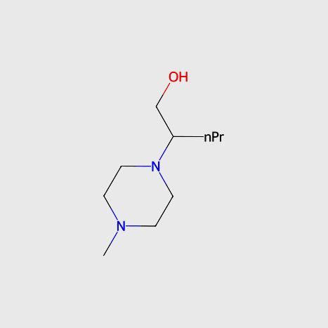 CCCC(CO)N1CCN(C)CC1